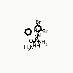 NNC(=O)N(N)N=Nc1ncc(Br)cc1Br.c1ccccc1